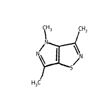 Cc1nn(C)c2c(C)nsc12